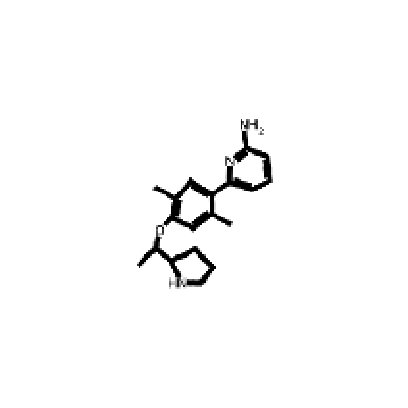 Cc1cc(-c2cccc(N)n2)c(C)cc1OC(C)C1CCCN1